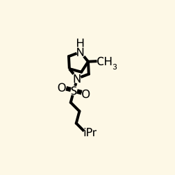 CC(C)CCCS(=O)(=O)N1CC2(C)CC1CN2